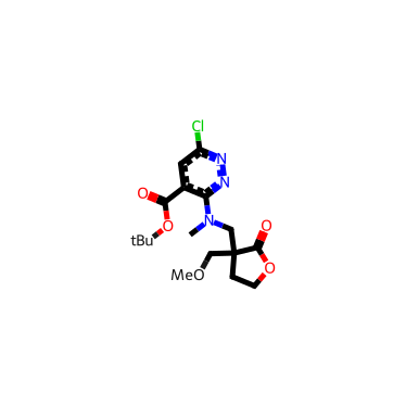 COCC1(CN(C)c2nnc(Cl)cc2C(=O)OC(C)(C)C)CCOC1=O